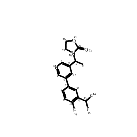 CC(c1cncc(-c2ccc(F)c(C(F)F)c2)c1)N1CCOC1=O